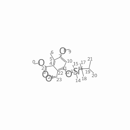 COC(=O)c1c(C)c(OC)cc(O[Si](C)(C)C(C)(C)C(C)C)c1C=O